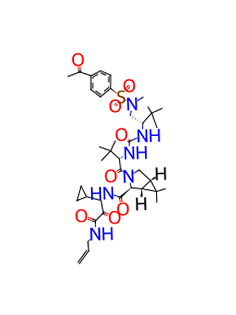 C=CCNC(=O)C(=O)C(NC(=O)[C@@H]1[C@@H]2[C@H](CN1C(=O)[C@@H](NC(=O)N[C@H](CN(C)S(=O)(=O)c1ccc(C(C)=O)cc1)C(C)(C)C)C(C)(C)C)C2(C)C)C1CC1